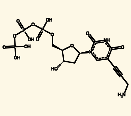 NCC#Cc1cn([C@H]2C[C@H](O)[C@@H](COP(=O)(O)OP(=O)(O)OP(=O)(O)O)O2)c(=O)[nH]c1=O